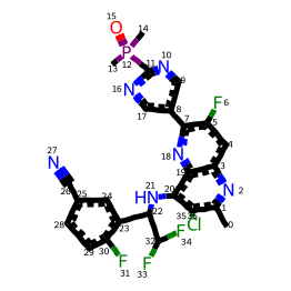 Cc1nc2cc(F)c(-c3cnc(P(C)(C)=O)nc3)nc2c(NC(c2cc(C#N)ccc2F)C(F)F)c1Cl